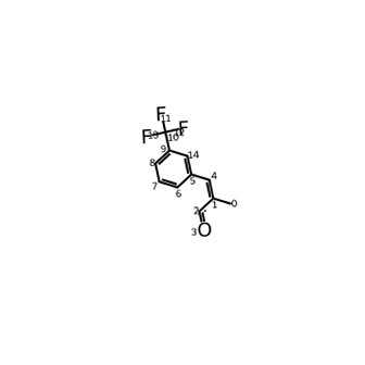 CC([C]=O)=Cc1cccc(C(F)(F)F)c1